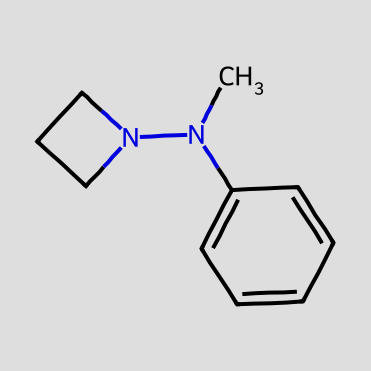 CN(c1ccccc1)N1CCC1